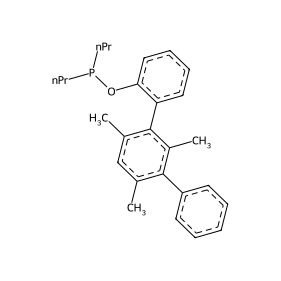 CCCP(CCC)Oc1ccccc1-c1c(C)cc(C)c(-c2ccccc2)c1C